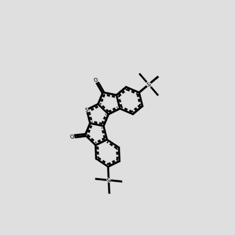 C[Si](C)(C)c1ccc2c(c1)c(=O)c1sc3c(=O)c4cc([Si](C)(C)C)ccc4c3c12